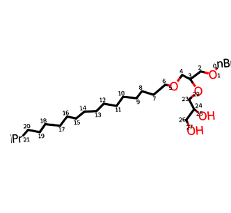 CCCCOCC(COCCCCCCCCCCCCCCCC(C)C)OCC(O)CO